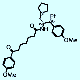 CC[C@H](c1ccc(OC)cc1)[C@@H](CN1CCCC1)NC(=O)CCCCCC(=O)c1ccc(OC)cc1